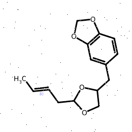 C/C=C/CC1OCC(Cc2ccc3c(c2)OCO3)O1